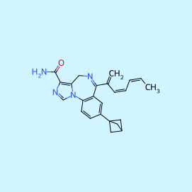 C=C(/C=C\C=C/C)C1=NCc2c(C(N)=O)ncn2-c2ccc(C34CC(C3)C4)cc21